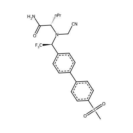 CCC[C@@H](C(N)=O)N(CC#N)[C@@H](c1ccc(-c2ccc(S(C)(=O)=O)cc2)cc1)C(F)(F)F